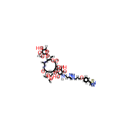 CCOC(C[C@H]1C[C@@H](C)C(=O)/C=C/C(C)=C/[C@H](COC2OC(C)C(O)C(OC)C2OC)[C@@H](CC)OC(=O)C[C@@H](O)[C@H](C)[C@H]1OC1OC(C)C(O)C(N(C)CCc2cn(CCCOc3ccc(-c4cnns4)cc3)nn2)C1O)OCC